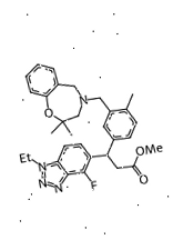 CCn1nnc2c(F)c(C(CC(=O)OC)c3ccc(C)c(CN4Cc5ccccc5OC(C)(C)C4)c3)ccc21